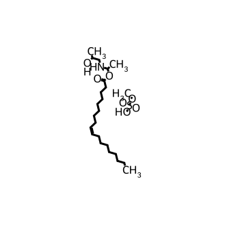 CCCCCCCC/C=C\CCCCCCCC(=O)OC(C)NCC(C)O.COS(=O)(=O)O